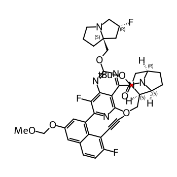 CC#Cc1c(F)ccc2cc(OCOC)cc(-c3nc4c5c(nc(OC[C@@]67CCCN6C[C@H](F)C7)nc5c3F)N3C[C@H]5CC[C@@H]([C@H]3CO4)N5C(=O)OC(C)(C)C)c12